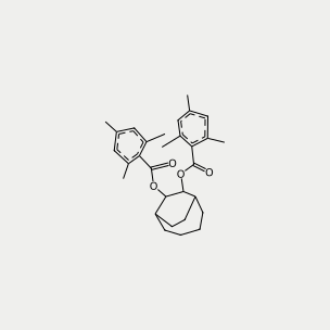 Cc1cc(C)c(C(=O)OC2C3CCCCC(CC3)C2OC(=O)c2c(C)cc(C)cc2C)c(C)c1